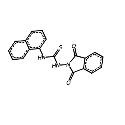 O=C1c2ccccc2C(=O)N1NC(=S)Nc1cccc2ccccc12